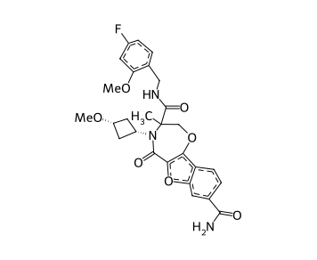 COc1cc(F)ccc1CNC(=O)C1(C)COc2c(oc3cc(C(N)=O)ccc23)C(=O)N1[C@H]1C[C@@H](OC)C1